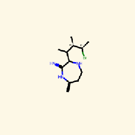 C=C1CCNC(C(C)[C@@H](C)[C@@H](C)Br)C(=N)N1